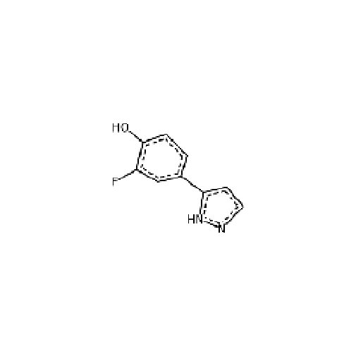 Oc1ccc(-c2ccn[nH]2)cc1F